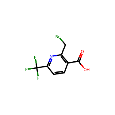 O=C(O)c1ccc(C(F)(F)F)nc1CBr